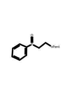 CCCCCCC[P](=O)c1ccccc1